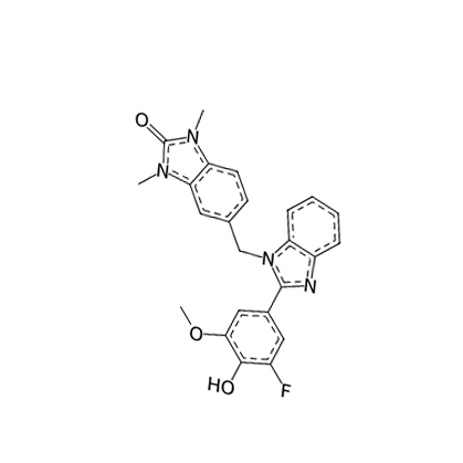 COc1cc(-c2nc3ccccc3n2Cc2ccc3c(c2)n(C)c(=O)n3C)cc(F)c1O